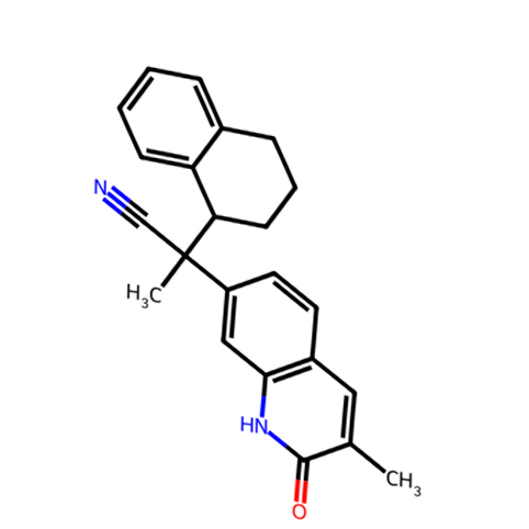 Cc1cc2ccc(C(C)(C#N)C3CCCc4ccccc43)cc2[nH]c1=O